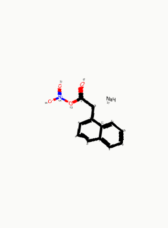 O=C(Cc1cccc2ccccc12)O[N+](=O)[O-].[NaH]